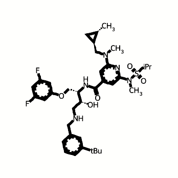 CC(C)S(=O)(=O)N(C)c1cc(C(=O)N[C@@H](COc2cc(F)cc(F)c2)[C@H](O)CNCc2cccc(C(C)(C)C)c2)cc(N(C)C[C@H]2C[C@@H]2C)n1